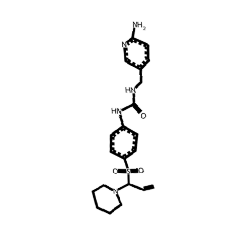 C=CC(N1CCCCC1)S(=O)(=O)c1ccc(NC(=O)NCc2ccc(N)nc2)cc1